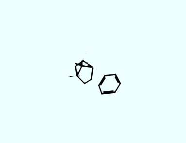 CC1(C)[C@@H]2CC[C@]1(C)[C@@H](O)C2.c1ccccc1